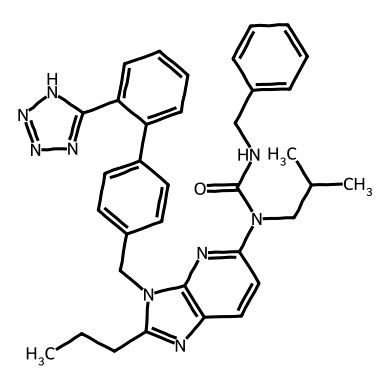 CCCc1nc2ccc(N(CC(C)C)C(=O)NCc3ccccc3)nc2n1Cc1ccc(-c2ccccc2-c2nnn[nH]2)cc1